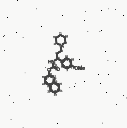 COc1ccc(C(CCN2CCCCC2)NC(=O)Oc2ccc3ccccc3n2)cc1